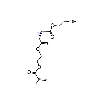 C=C(C)C(=O)OCCOC(=O)/C=C\C(=O)OCCO